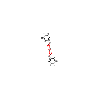 c1ccc(COOOOCc2ccccc2)cc1